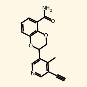 C#Cc1cncc(C2COc3c(cccc3C(N)=O)O2)c1C